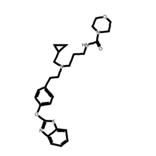 O=C(NCCCN(CCc1ccc(Oc2nc3ccccc3s2)cc1)CC1CC1)N1CCOCC1